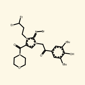 CCC(CC)CCn1c(C(=O)N2CCOCC2)cn(CC(=O)c2cc(C(C)(C)C)c(O)c(C(C)(C)C)c2)/c1=N\Br